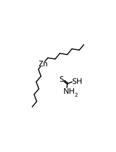 CCCCCC[CH2][Zn][CH2]CCCCCC.NC(=S)S